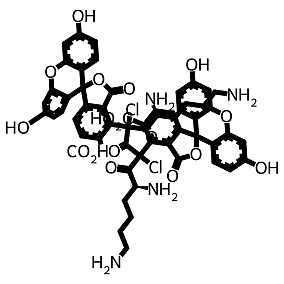 NCCCC[C@H](N)C(=O)C(Cl)(C(=O)C(Cl)(C(=O)[C@@H](N)CCCCN)c1c(C(=O)O)ccc2c1C(=O)OC21c2ccc(O)cc2Oc2cc(O)ccc21)c1c(C(=O)O)ccc2c1C(=O)OC21c2ccc(O)cc2Oc2cc(O)ccc21